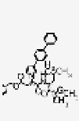 CON(C)C(=O)[C@H](CC(C)C)NC(=O)[C@@H](CC(=O)OCc1ccccc1)n1ccc(-c2ccc(-c3ccccc3)cc2)c1